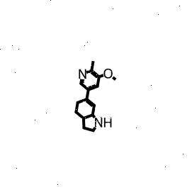 COc1cc(C2=CC3NCCC3CC2)cnc1C